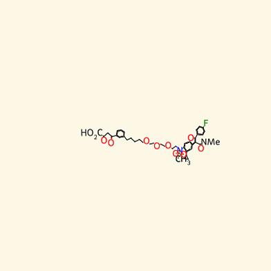 CNC(=O)c1c(-c2ccc(F)cc2)oc2cc(N(CCOCCOCCOCCCCCc3cccc(C(=O)CC(=O)C(=O)O)c3)S(C)(=O)=O)c(C3CC3)cc12